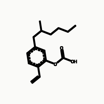 C=Cc1ccc(CC(C)CCCC)cc1OC(=O)O